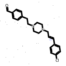 O=Cc1ccc(CCN2CCN(C/C=C/c3ccc(Cl)cc3)CC2)cc1